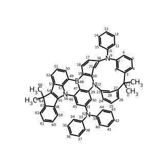 CC1(C)c2cccc(c2)N(c2ccccc2)c2ccc3c(c2)N(c2cccc1c2)c1cc(N(c2ccccc2)c2ccccc2)cc2c1B3c1cccc3c4c(n-2c13)-c1ccccc1C4(C)C